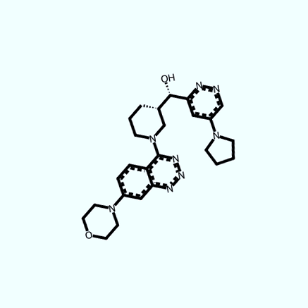 O[C@H](c1cc(N2CCCC2)cnn1)[C@H]1CCCN(c2nnnc3cc(N4CCOCC4)ccc23)C1